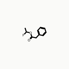 CC(F)OC(=O)Cc1ccccc1